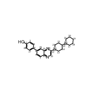 Oc1ccc(-c2ccc3ncc(N4CCC(N5CCCCC5)CC4)nc3c2)cc1